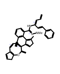 C#Cc1cccc(/C(=N/NC)N/C(C=Cc2ccccc2)=C/C=C)c1C1=C(C)CC=C1/C1=C/C=C\C2=C(CC=C2)OC1=C